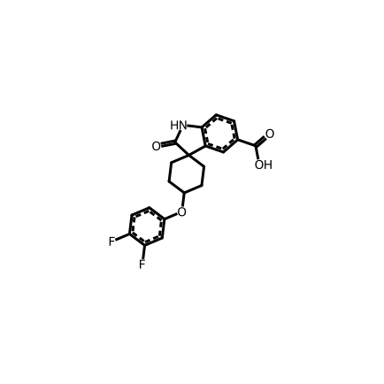 O=C(O)c1ccc2c(c1)C1(CCC(Oc3ccc(F)c(F)c3)CC1)C(=O)N2